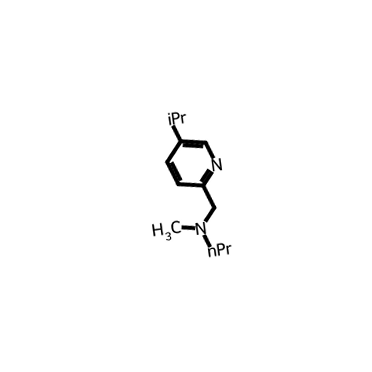 CCCN(C)Cc1ccc(C(C)C)cn1